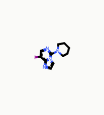 Ic1cnc(N2CCCCC2)n2ccnc12